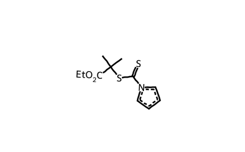 CCOC(=O)C(C)(C)SC(=S)n1cccc1